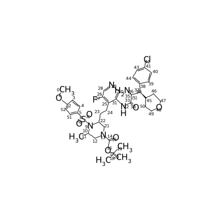 COc1ccc(S(=O)(=O)N2C(C)CN(C(=O)OC(C)(C)C)CC2CCc2c(F)cncc2NC(=O)[C@@H](N)[C@@H](c2ccc(Cl)cc2)C2CCOCC2)cc1